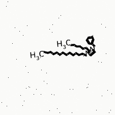 CCCCCCCCCCCCCCCN1C=CN(Cc2ccccc2)C1CCCCCCC